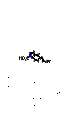 CC(C)C=Cc1ccc2c(ccn2C(=O)O)c1